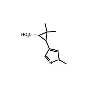 Cn1cc(C2[C@H](C(=O)O)C2(C)C)cn1